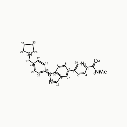 CNC(=O)c1ccc(-c2ccc3c(cnn3-c3ccc(CN4CCCC4)cc3)c2)cn1